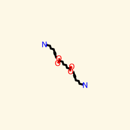 N#CCCCC#CCOC(=O)CCCCC(=O)OCC#CCCCC#N